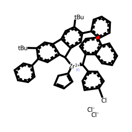 CC(C)(C)c1cc2c(cc1-c1ccccc1)[CH](/[Zr+2]([C]1=CC=CC1)=[C](/c1ccc(Cl)cc1)c1cccc3ccccc13)c1cc(-c3ccccc3)c(C(C)(C)C)cc1-2.[Cl-].[Cl-]